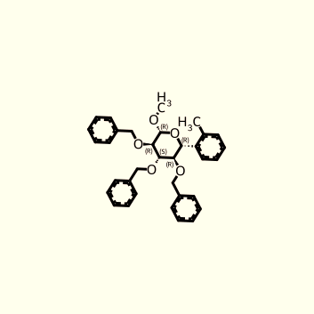 CO[C@@H]1O[C@H](c2ccccc2C)[C@@H](OCc2ccccc2)[C@H](OCc2ccccc2)[C@H]1OCc1ccccc1